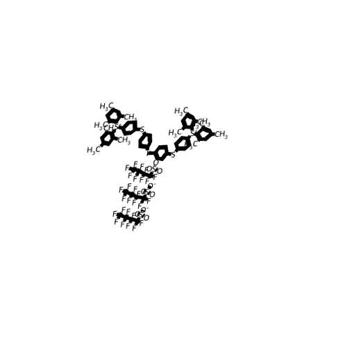 Cc1cc(C)c([S+](c2ccc(Sc3ccc([I+]c4ccc(Sc5ccc([S+](c6c(C)cc(C)cc6C)c6c(C)cc(C)cc6C)cc5)cc4)cc3)cc2)c2c(C)cc(C)cc2C)c(C)c1.O=S(=O)([O-])C(F)(F)C(F)(F)C(F)(F)C(F)(F)F.O=S(=O)([O-])C(F)(F)C(F)(F)C(F)(F)C(F)(F)F.O=S(=O)([O-])C(F)(F)C(F)(F)C(F)(F)C(F)(F)F